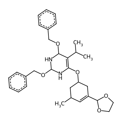 CC1C=C(C2OCCO2)CC(OC2=C(C(C)C)C(OCc3ccccc3)NC(OCc3ccccc3)N2)C1